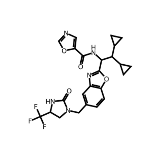 O=C(NC(c1nc2cc(CN3CC(C(F)(F)F)NC3=O)ccc2o1)C(C1CC1)C1CC1)c1cnco1